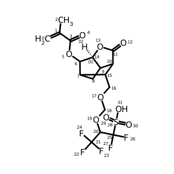 C=C(C)C(=O)OC1C2CC3C(C(=O)O[C@@H]31)C2COCOC(C(F)(F)F)C(F)(F)S(=O)(=O)O